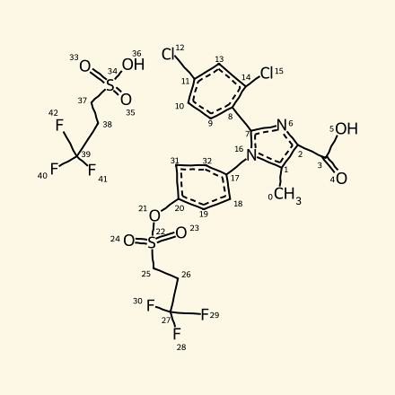 Cc1c(C(=O)O)nc(-c2ccc(Cl)cc2Cl)n1-c1ccc(OS(=O)(=O)CCC(F)(F)F)cc1.O=S(=O)(O)CCC(F)(F)F